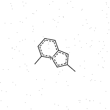 Cc1cc2cccc(C)n2c1